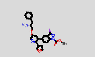 CC(C)(C)OC(=O)n1nc(I)c2cc(-c3cc(OC[C@H](N)Cc4ccccc4)cnc3-c3ccoc3)ccc21